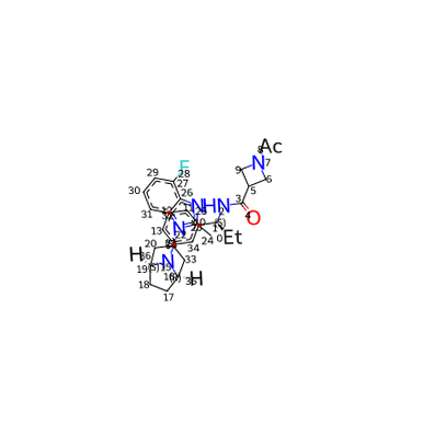 CC[C@H](NC(=O)C1CN(C(C)=O)C1)c1cccc(N2[C@@H]3CC[C@H]2C[C@H](n2c(C)nc4c(F)cccc42)C3)c1